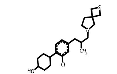 CC(Cc1ccc(C2CCC(O)CC2)c(Cl)c1)CN1CCC2(CSC2)C1